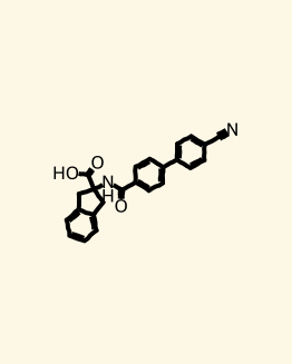 N#Cc1ccc(-c2ccc(C(=O)NC3(C(=O)O)Cc4ccccc4C3)cc2)cc1